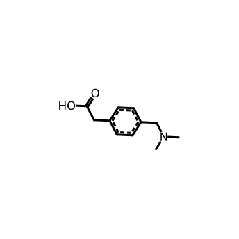 CN(C)Cc1ccc(CC(=O)O)cc1